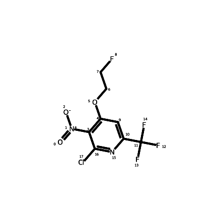 O=[N+]([O-])c1c(OCCF)cc(C(F)(F)F)nc1Cl